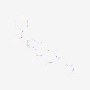 O=C(c1cnn(C(=O)N2CCN(Cc3nccs3)CC2)c1)N1CCOCC1